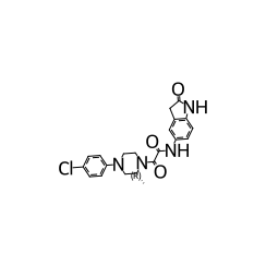 C[C@@H]1CN(c2ccc(Cl)cc2)CCN1C(=O)C(=O)Nc1ccc2c(c1)CC(=O)N2